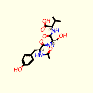 CC(=O)N[C@@H](Cc1ccc(O)cc1)C(=O)N[C@@H](CO)C(=O)N[C@H](C(=O)O)C(C)C